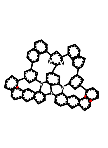 c1ccc(-c2cc(-c3ccccc3)cc(N3c4cc(-c5nc(-c6ccccc6)cc(-c6ccccc6)n5)cc5c4B(c4ccc6cc7ccccc7cc6c43)c3ccc4cc6ccccc6cc4c3N5c3cc(-c4ccccc4)cc(-c4ccccc4)c3)c2)cc1